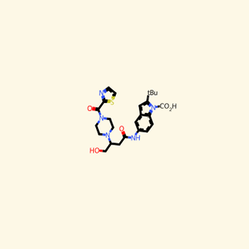 CC(C)(C)c1cc2cc(NC(=O)CC(CO)N3CCN(C(=O)c4nccs4)CC3)ccc2n1C(=O)O